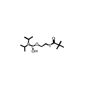 CC(C)N(C(C)C)P(O)OCCSC(=O)C(C)(C)C